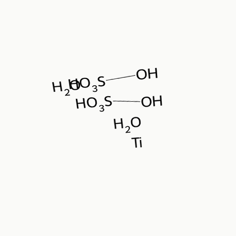 O.O.O=S(=O)(O)O.O=S(=O)(O)O.[Ti]